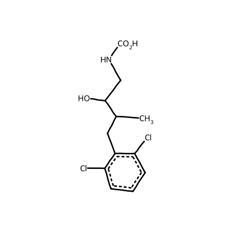 CC(Cc1c(Cl)cccc1Cl)C(O)CNC(=O)O